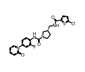 O=C(NC[C@H]1CCN(C(=O)Nc2ccc(-n3ccccc3=O)cc2F)C1)c1ccc(Cl)s1